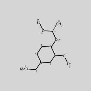 CCOC1CC(COC)CCC1O[C@@H](C)OCC